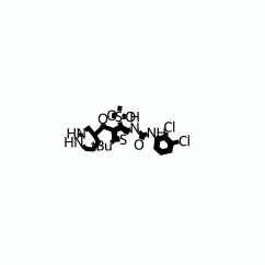 CC(C)(C)c1sc(NC(=O)Nc2cccc(Cl)c2Cl)c(S(C)(=O)=O)c1C(=O)C1CCCNNC1